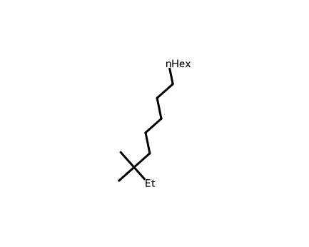 [CH2]CCCCCCCCCCC(C)(C)CC